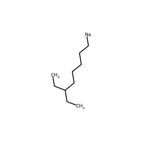 CCC(CC)CCCC[CH2][Na]